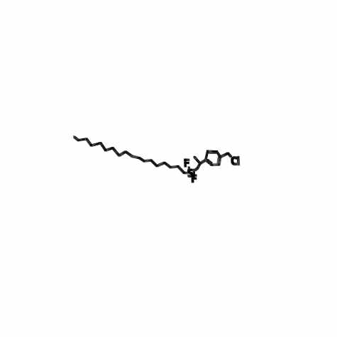 CCCCCCCCCCCCCCCCCC[Si](F)(F)CC(C)c1ccc(CCl)cc1